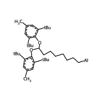 Cc1cc(C(C)(C)C)c(OC(CCCCCC[CH2][Al])Oc2c(C(C)(C)C)cc(C)cc2C(C)(C)C)c(C(C)(C)C)c1